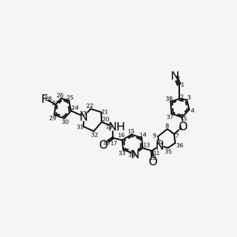 N#Cc1ccc(OC2CCN(C(=O)c3ccc(C(=O)NC4CCN(c5ccc(F)cc5)CC4)cn3)CC2)cc1